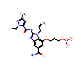 C=CCn1c(NC(=O)c2cc(C)nn2CC)nc2cc(C(N)=O)cc(OCCCOP(O)O)c21